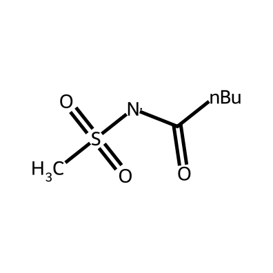 CCCCC(=O)[N]S(C)(=O)=O